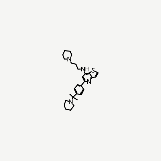 CC(C)(c1ccc(-c2cc(NCCCN3CCCCC3)c3sccc3n2)cc1)N1CCCCC1